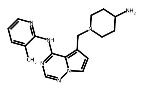 Cc1cccnc1Nc1ncnn2ccc(CN3CCC(N)CC3)c12